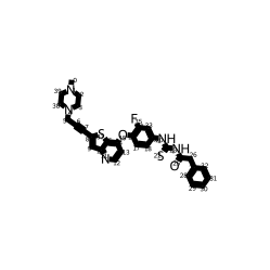 CN1CCN(CC#Cc2cc3nccc(Oc4ccc(NC(=S)NC(=O)Cc5ccccc5)cc4F)c3s2)CC1